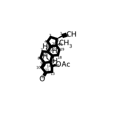 C#C[C@@H]1CC[C@H]2[C@@H]3CCC4=CC(=O)CC(OC(C)=O)[C@@H]4[C@H]3CC[C@]12C